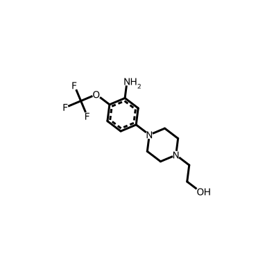 Nc1cc(N2CCN(CCO)CC2)ccc1OC(F)(F)F